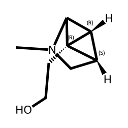 CN1C[C@H]2[C@H]3C1[C@@]32CCO